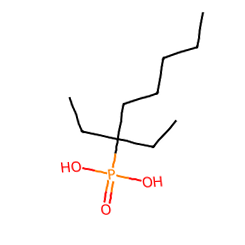 CCCCCC(CC)(CC)P(=O)(O)O